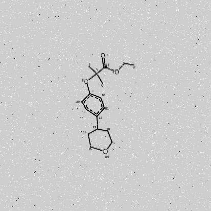 CCOC(=O)C(C)(C)Oc1ccc(C2CCOCC2)cc1